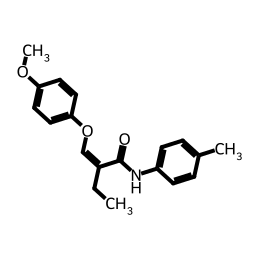 CCC(=COc1ccc(OC)cc1)C(=O)Nc1ccc(C)cc1